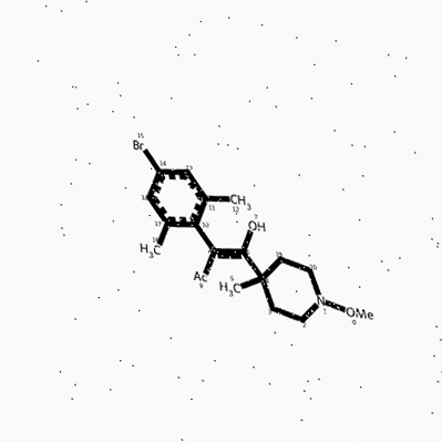 CON1CCC(C)(/C(O)=C(\C(C)=O)c2c(C)cc(Br)cc2C)CC1